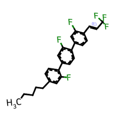 CCCCCc1ccc(-c2ccc(-c3ccc(/C=C/C(F)(F)F)c(F)c3)c(F)c2)c(F)c1